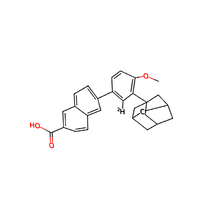 [2H]c1c(-c2ccc3cc(C(=O)O)ccc3c2)ccc(OC)c1C12CC3CC(CC(C3)C1)C2